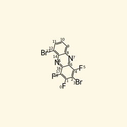 Fc1c(Br)c(F)c2nc3cccc(Br)c3nc2c1F